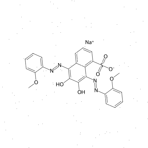 COc1ccccc1N=Nc1c(O)c(O)c(N=Nc2ccccc2OC)c2c(S(=O)(=O)[O-])cccc12.[Na+]